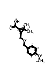 COc1ccc(COCC2C(C(=O)O)C2(C)C)cc1